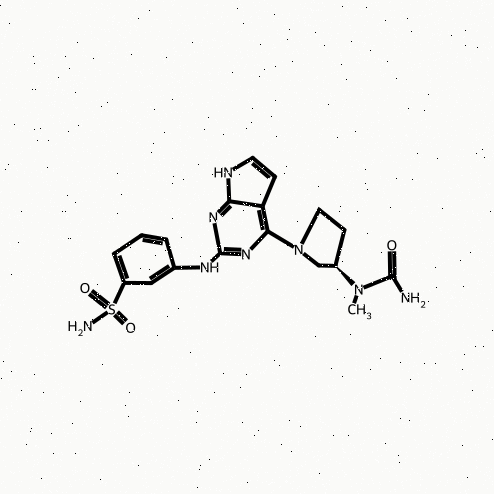 CN(C(N)=O)[C@@H]1CCN(c2nc(Nc3cccc(S(N)(=O)=O)c3)nc3[nH]ccc23)C1